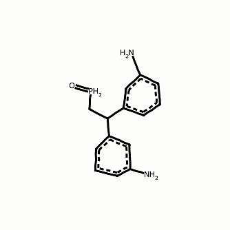 Nc1cccc(C(C[PH2]=O)c2cccc(N)c2)c1